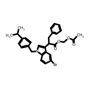 CC(=O)OCOC(=O)C(Cc1ccccc1)c1cn(Cc2ccc(C(C)C)cc2)c2ccc(Br)cc12